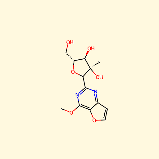 COc1nc(C2O[C@H](CO)[C@@H](O)[C@@]2(C)O)nc2ccoc12